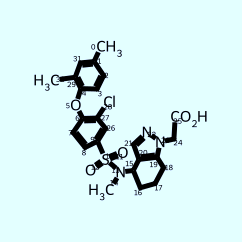 Cc1ccc(Oc2ccc(S(=O)(=O)N(C)C3CCCc4c3cnn4CC(=O)O)cc2Cl)c(C)c1